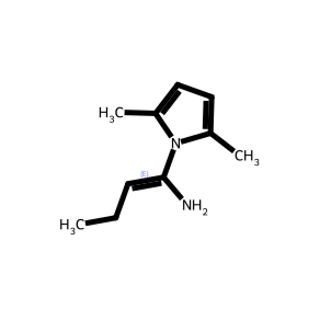 CC/C=C(\N)n1c(C)ccc1C